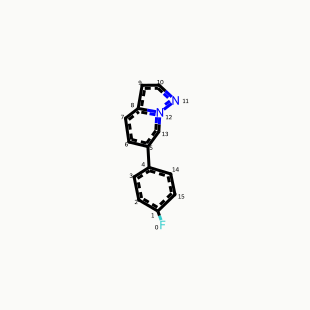 Fc1ccc(-c2ccc3ccnn3c2)cc1